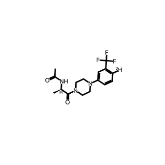 [2H]c1ccc(N2CCN(C(=O)[C@@H](C)NC(C)=O)CC2)cc1C(F)(F)F